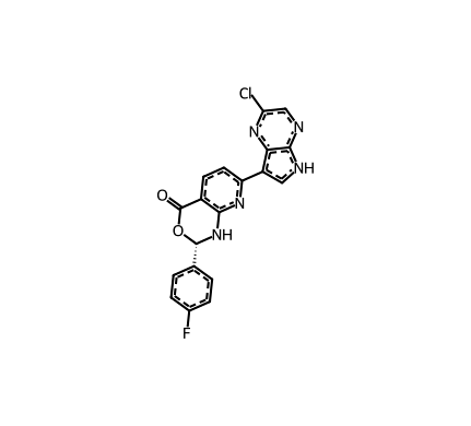 O=C1O[C@@H](c2ccc(F)cc2)Nc2nc(-c3c[nH]c4ncc(Cl)nc34)ccc21